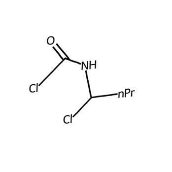 CCCC(Cl)NC(=O)Cl